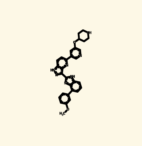 COc1cccc(-c2cccc3[nH]c(-c4n[nH]c5ccc(-c6cncc(OC7CCNCC7)c6)nc45)nc23)c1